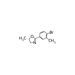 Cc1cc(C2=NC[C@H](C)O2)ccc1Br